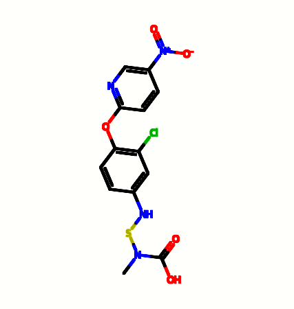 CN(SNc1ccc(Oc2ccc([N+](=O)[O-])cn2)c(Cl)c1)C(=O)O